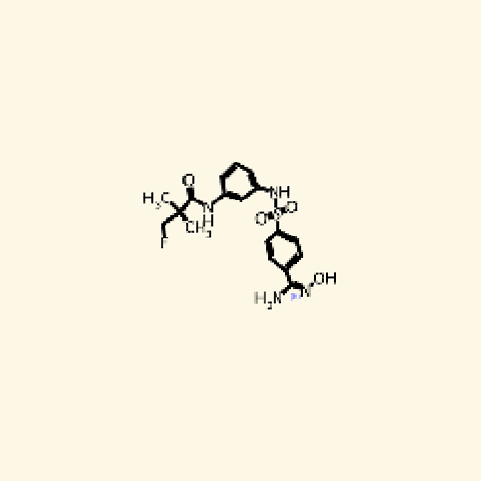 CC(C)(CF)C(=O)Nc1cccc(NS(=O)(=O)c2ccc(/C(N)=N\O)cc2)c1